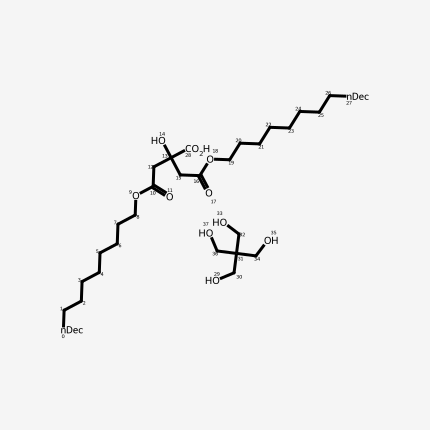 CCCCCCCCCCCCCCCCCCOC(=O)CC(O)(CC(=O)OCCCCCCCCCCCCCCCCCC)C(=O)O.OCC(CO)(CO)CO